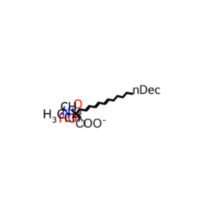 CCCCCCCCCCCCCCCC=CC=CC=CC(=O)C(O)(CC(=O)[O-])C[N+](C)(C)C